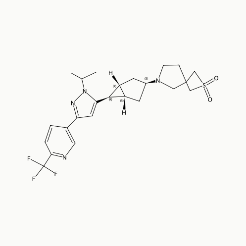 CC(C)n1nc(-c2ccc(C(F)(F)F)nc2)cc1[C@H]1[C@@H]2C[C@@H](N3CCC4(C3)CS(=O)(=O)C4)C[C@@H]21